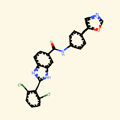 O=C(Nc1ccc(-c2cnco2)cc1)c1ccc2nc(-c3c(Cl)cccc3Cl)[nH]c2c1